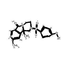 CCOc1ccc(S(=O)(=O)N2CCN3C(=O)c4cnc(C)cc4C3(C)C2)cc1